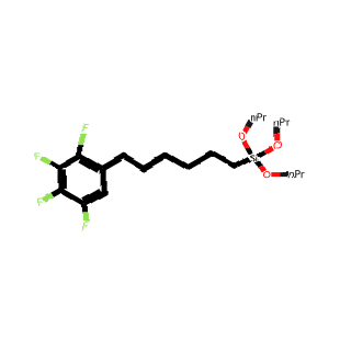 CCCO[Si](CCCCCCc1cc(F)c(F)c(F)c1F)(OCCC)OCCC